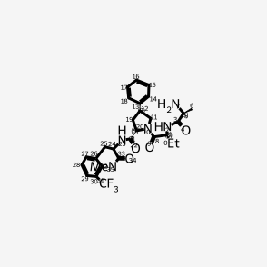 CC[C@H](NC(=O)[C@H](C)N)C(=O)N1C[C@@H](c2ccccc2)C[C@H]1C(=O)NC(Cc1cccc(C(F)(F)F)c1)C(=O)NC